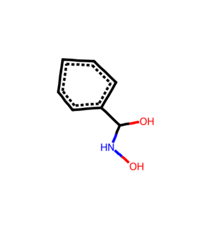 ONC(O)c1ccccc1